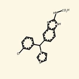 O=C(O)Nc1nc2cc(C(c3cccc(Cl)c3)n3ccnc3)ccc2[nH]1